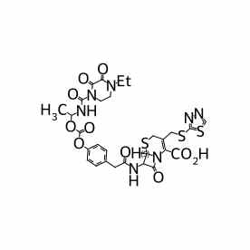 CCN1CCN(C(=O)NC(C)OC(=O)Oc2ccc(CC(=O)NC3C(=O)N4C(C(=O)O)=C(CSc5nncs5)CS[C@@H]34)cc2)C(=O)C1=O